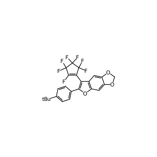 CC(C)(C)c1ccc(-c2oc3cc4c(cc3c2C2=C(F)C(F)(F)C(F)(F)C2(F)F)OCO4)cc1